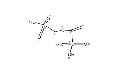 C=C(CCS(=O)(=O)O)S(=O)(=O)O